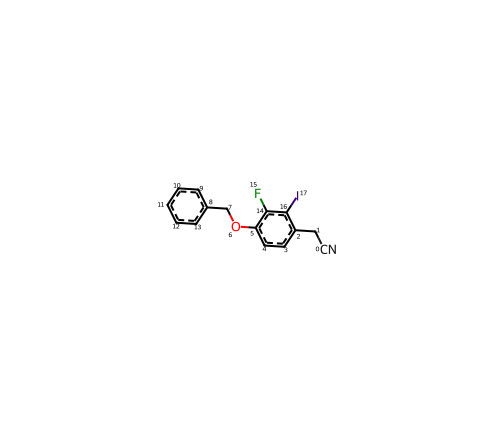 N#CCc1ccc(OCc2ccccc2)c(F)c1I